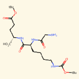 CC(C)(C)OC(=O)CC[C@H](NC(=O)[C@H](CCCCNC(=O)OC(C)(C)C)NC(=O)CN)C(=O)O